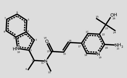 CC(c1cc2ccccc2[nH]1)N(C)C(=O)/C=C/c1cnc(N)c(C(C)(C)O)c1